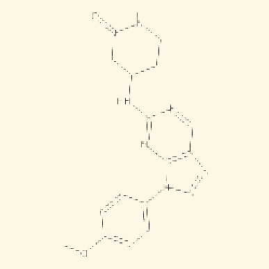 COc1ccc(-n2nnc3cnc(NC4CCNC(=O)C4)nc32)cc1